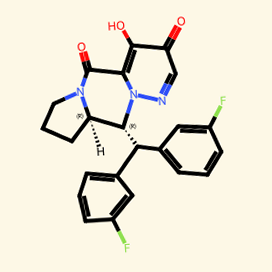 O=C1c2c(O)c(=O)cnn2[C@H](C(c2cccc(F)c2)c2cccc(F)c2)[C@H]2CCCN12